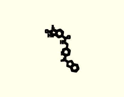 CN(c1ccc(CNC(=O)c2ccc3c(c2)[nH]c(=O)n3C)cn1)C1Cc2ccccc2C1